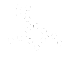 c1ccc(-c2ccc(N(c3ccc(-c4ccccc4)cc3)c3ccc4c(c3)c3c5oc6c(ccc7c6c6ccccc6n7-c6ccc7sc8ccccc8c7c6)c5ccc3n4-c3ccc(N(c4ccccc4)c4cccc5ccccc45)cc3)cc2)cc1